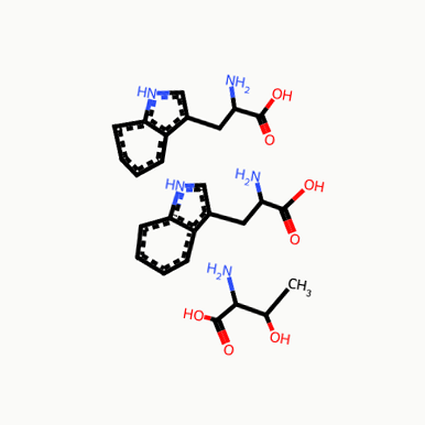 CC(O)C(N)C(=O)O.NC(Cc1c[nH]c2ccccc12)C(=O)O.NC(Cc1c[nH]c2ccccc12)C(=O)O